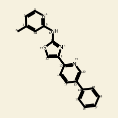 Cc1ccnc(Nc2nc(-c3ccc(-c4ccccc4)cn3)cs2)c1